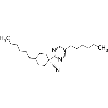 CCCCCCc1cnc([C@]2(C#N)CC[C@H](CCCCCC)CC2)nc1